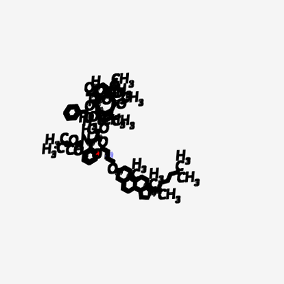 CO[C@H]1C(=O)[C@]2(C)[C@@H](OC)C[C@H]3OC[C@@]3(OC(C)=O)[C@H]2[C@H](OC(=O)c2ccccc2)[C@]2(O)C[C@H](OC(=O)[C@H](OC(=O)/C=C/CO[C@H]3CC[C@@]4(C)C(=CCC5C4CC[C@@]4(C)C5CC[C@@H]4[C@H](C)CCCC(C)C)C3)[C@@H](NC(=O)OC(C)(C)C)c3ccccc3)C(C)=C1C2(C)C